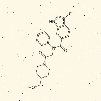 O=C(CN(C(=O)c1ccc2c(Cl)c[nH]c2c1)c1ccccc1)N1CCC(CO)CC1